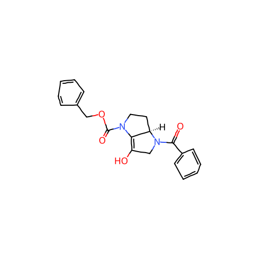 O=C(OCc1ccccc1)N1CC[C@@H]2C1=C(O)CN2C(=O)c1ccccc1